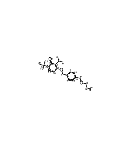 CC(C)c1c(OCc2c#cc(COCCF)cc2)cnn(C(C)(C)C)c1=O